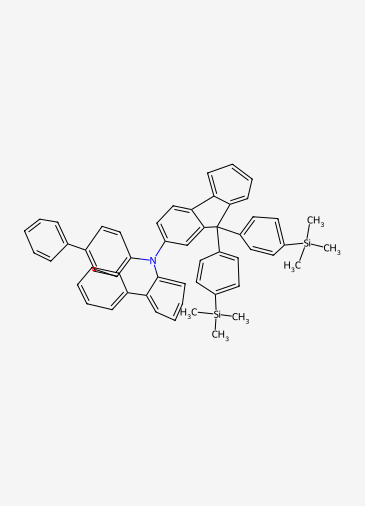 C[Si](C)(C)c1ccc(C2(c3ccc([Si](C)(C)C)cc3)c3ccccc3-c3ccc(N(c4ccc(-c5ccccc5)cc4)c4ccccc4-c4ccccc4)cc32)cc1